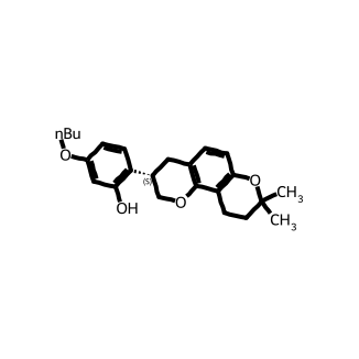 CCCCOc1ccc([C@H]2COc3c(ccc4c3CCC(C)(C)O4)C2)c(O)c1